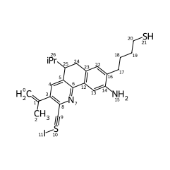 C=C(C)c1cc2c(nc1C#SI)-c1cc(N)c(CCCCS)cc1CC2C(C)C